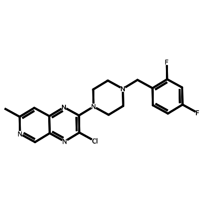 Cc1cc2nc(N3CCN(Cc4ccc(F)cc4F)CC3)c(Cl)nc2cn1